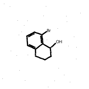 OC1CCCc2cccc(Br)c21